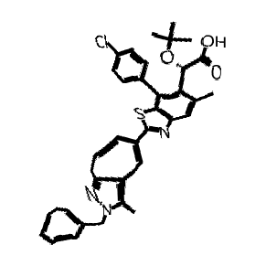 Cc1cc2nc(-c3ccc4nn(Cc5ccccc5)c(C)c4c3)sc2c(-c2ccc(Cl)cc2)c1[C@H](OC(C)(C)C)C(=O)O